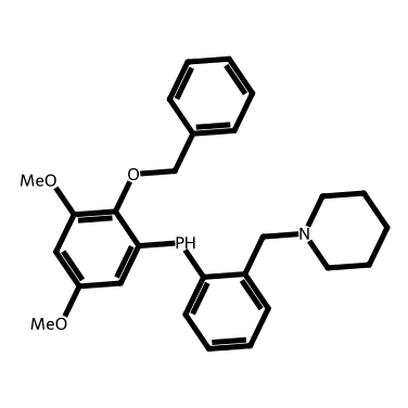 COc1cc(OC)c(OCc2ccccc2)c(Pc2ccccc2CN2CCCCC2)c1